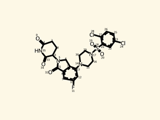 O=C1CCC(N2Cc3c(cc(F)cc3N3CCN(S(=O)(=O)c4cc(Cl)ccc4Cl)CC3)C2=O)C(=O)N1